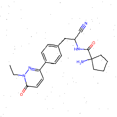 CCn1nc(-c2ccc(CC(C#N)NC(=O)C3(N)CCCC3)cc2)ccc1=O